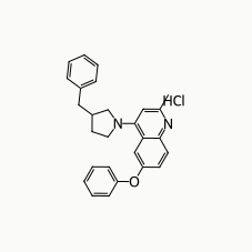 Cc1cc(N2CCC(Cc3ccccc3)C2)c2cc(Oc3ccccc3)ccc2n1.Cl